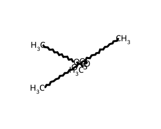 CCCCCCCCCCCCCCCC(=O)OC(C(C)=S)C(COCCCCCCCCCCCCCC)OCCCCCCCCCCCCCC